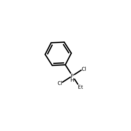 CC[PH](Cl)(Cl)c1ccccc1